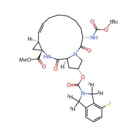 [2H]C1([2H])c2cccc(F)c2C([2H])([2H])N1C(=O)O[C@@H]1C[C@H]2C(=O)N[C@]3(C(=O)OC)C[C@H]3/C=C\CCCCC[C@H](NC(=O)OC(C)(C)C)C(=O)N2C1